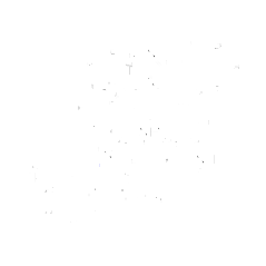 C=C/C(=N\C(N)(c1cccc(Cl)c1)c1ccccc1-c1cc2c(cc1N)c1ccccc1c1nc3ccccc3n21)c1cccc(Cl)c1